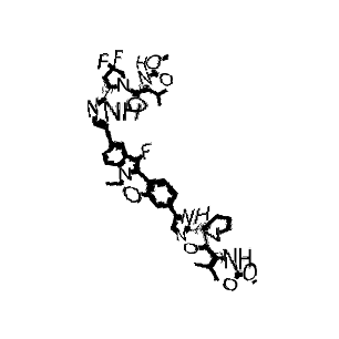 COC(=O)N[C@H](C(=O)N1CCC[C@H]1c1ncc(-c2ccc3c(c2)OC(C)n2c-3c(F)c3cc(-c4cnc([C@@H]5CC(F)(F)CN5C(=O)[C@@H](NC(=O)OC)C(C)C)[nH]4)ccc32)[nH]1)C(C)C